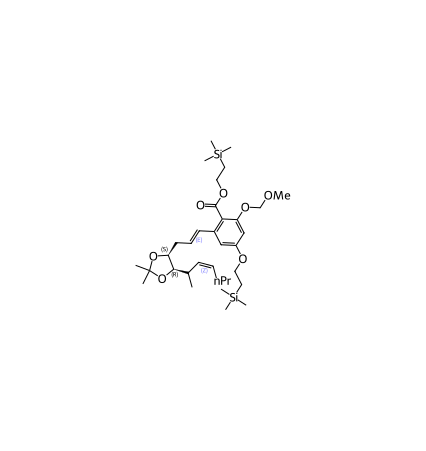 CCC/C=C\C(C)[C@H]1OC(C)(C)O[C@H]1C/C=C/c1cc(OCC[Si](C)(C)C)cc(OCOC)c1C(=O)OCC[Si](C)(C)C